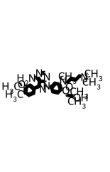 COc1cc(-c2nn(-c3ccc(OCC(C)(C)O)c(N(C)C(=O)/C=C/CN(C)C)c3)c3ncnc(N)c23)ccc1C